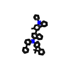 CC1Cc2c(c3ccccc3n2-c2ccccc2)C=C1c1ccc(N(c2cccc(-c3ccccc3)c2)c2ccc3c(c2)C(C)(C)c2ccccc2-3)c2ccccc12